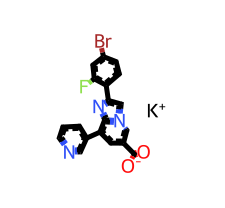 O=C([O-])c1cc(-c2cccnc2)c2nc(-c3ccc(Br)cc3F)cn2c1.[K+]